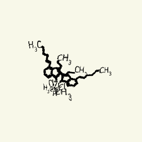 CCCCC=Cc1cccc2c1C=C(CCCC)[CH]2[Zr]([Cl])([Cl])([CH]1C(CCCC)=Cc2c(C=CCCCC)cccc21)[SiH](C)C